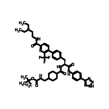 CCN(CC)CCNC(=O)c1ccc(-c2ccc(C[C@H](NC(=O)C3CCC(CNC(=O)OC(C)(C)C)CC3)C(=O)Nc3ccc(-c4nn[nH]n4)cc3)cc2)c(C(F)(F)F)n1